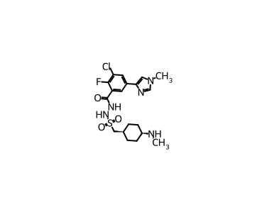 CN[C@H]1CC[C@@H](CS(=O)(=O)NNC(=O)c2cc(-c3cn(C)cn3)cc(Cl)c2F)CC1